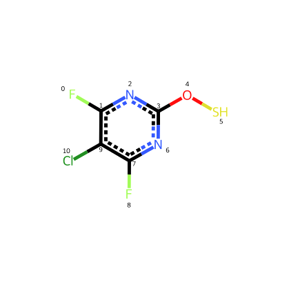 Fc1nc(OS)nc(F)c1Cl